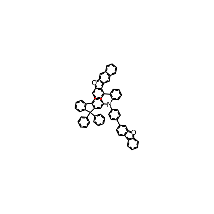 c1ccc(C2(c3ccccc3)c3ccccc3-c3ccc(N(c4ccc(-c5ccc6c(c5)oc5ccccc56)cc4)c4ccccc4-c4cccc5oc6cc7ccccc7cc6c45)cc32)cc1